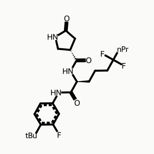 CCCC(F)(F)CCC[C@H](NC(=O)[C@@H]1CNC(=O)C1)C(=O)Nc1ccc(C(C)(C)C)c(F)c1